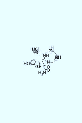 Cl.Cl.Cl.NC(=O)C[C@H](NC(=O)Cc1ccc(O)cc1O)C(=O)N1CCCNCCNCCCNCC1